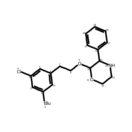 CC(C)(C)c1cc(Cl)cc(CCOC2OCCNC2c2ccccc2)c1